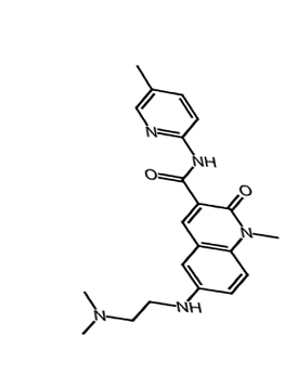 Cc1ccc(NC(=O)c2cc3cc(NCCN(C)C)ccc3n(C)c2=O)nc1